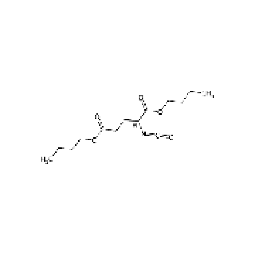 CCCCOC(=O)CC[C@H](N=C=O)C(=O)OCCCC